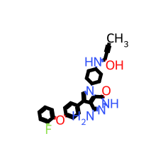 CC#CC(O)N[C@H]1CC[C@H](n2cc(-c3ccc(Oc4ccccc4F)cc3)c3c(N)n[nH]c(=O)c32)CC1